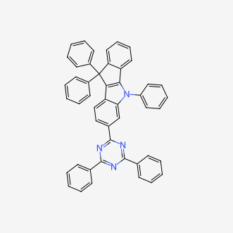 c1ccc(-c2nc(-c3ccccc3)nc(-c3ccc4c5c(n(-c6ccccc6)c4c3)-c3ccccc3C5(c3ccccc3)c3ccccc3)n2)cc1